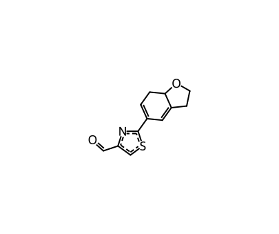 O=Cc1csc(C2=CCC3OCCC3=C2)n1